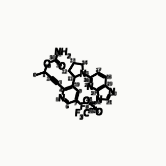 CC(C#Cc1ncc(F)cc1C1CCCN1c1ccc2ncn(S(=O)(=O)C(F)(F)F)c2n1)OC(N)=O